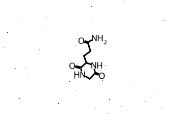 NC(=O)CCC1NC(=O)CNC1=O